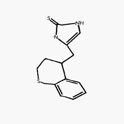 S=C1[N]C(CC2CCSc3ccccc32)=CN1